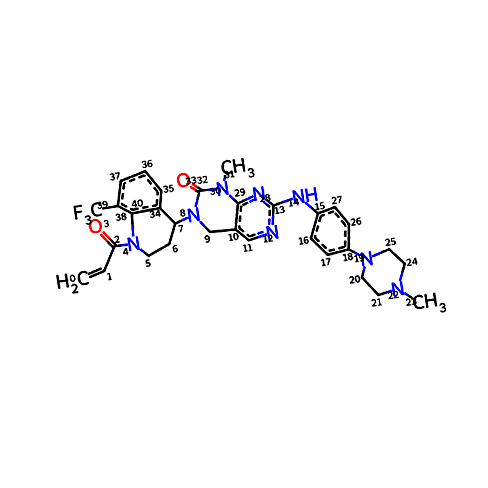 C=CC(=O)N1CCC(N2Cc3cnc(Nc4ccc(N5CCN(C)CC5)cc4)nc3N(C)C2=O)c2cccc(C(F)(F)F)c21